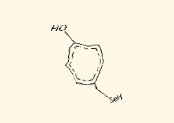 Oc1ccc([SeH])cc1